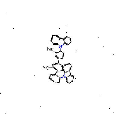 N#Cc1cc(-c2ccc(-n3c4ccccc4c4ccccc43)c(C#N)c2)ccc1-c1ccccc1-n1c2ccccc2c2ccccc21